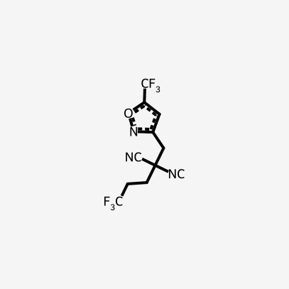 [C-]#[N+]C(C#N)(CCC(F)(F)F)Cc1cc(C(F)(F)F)on1